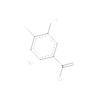 NC(=O)c1ccc([S-])c(O)c1.[Na+]